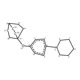 c1cc(N2CCCCC2)ccc1OC12CCC(CC1)CC2